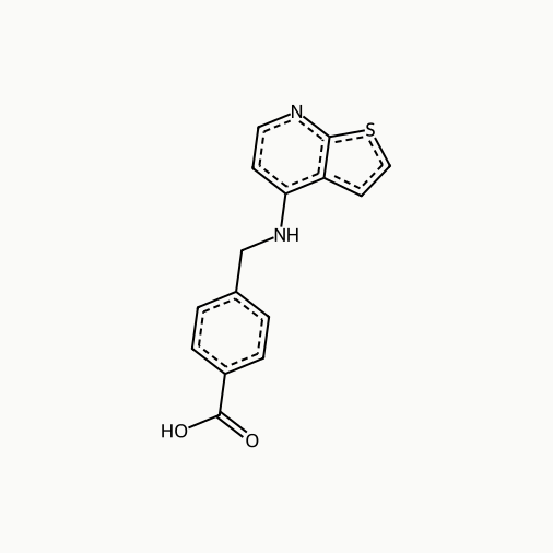 O=C(O)c1ccc(CNc2ccnc3sccc23)cc1